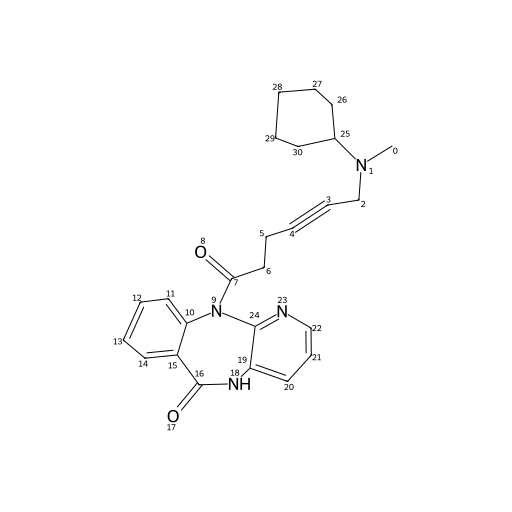 CN(CC#CCCC(=O)N1c2ccccc2C(=O)Nc2cccnc21)C1CCCCC1